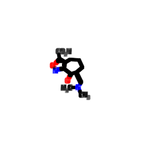 CN(C)C=C1CCCc2c(noc2C(=O)O)C1=O